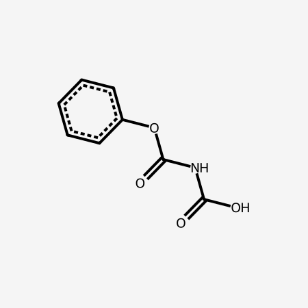 O=C(O)NC(=O)Oc1ccccc1